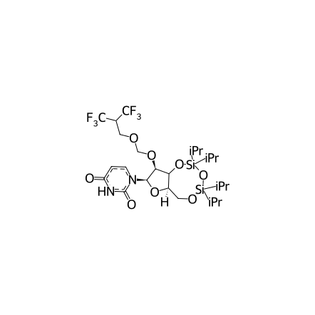 CC(C)[Si]1(C(C)C)OC[C@H]2O[C@@H](n3ccc(=O)[nH]c3=O)[C@@H](OCOCC(C(F)(F)F)C(F)(F)F)C2O[Si](C(C)C)(C(C)C)O1